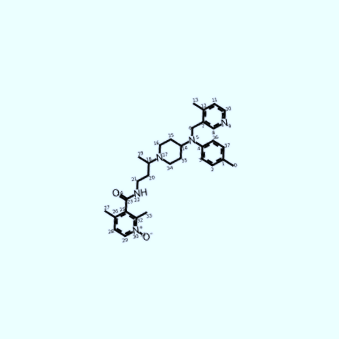 Cc1ccc(N(Cc2cnccc2C)C2CCN(C(C)CCNC(=O)c3c(C)cc[n+]([O-])c3C)CC2)cc1